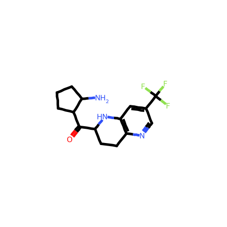 NC1CCCC1C(=O)C1CCc2ncc(C(F)(F)F)cc2N1